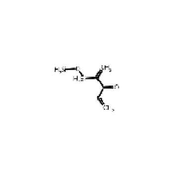 C=CC(=O)C(=C)[SiH2]O[SiH3]